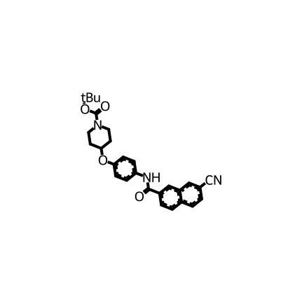 CC(C)(C)OC(=O)N1CCC(Oc2ccc(NC(=O)c3ccc4ccc(C#N)cc4c3)cc2)CC1